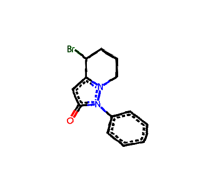 O=c1cc2n(n1-c1ccccc1)CCCC2Br